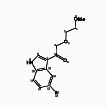 COCCOCC(=O)c1c[nH]c2ccc(Br)cc12